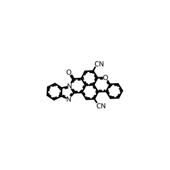 N#Cc1cc2c(=O)n3c4ccccc4nc3c3cc(C#N)c4c5ccccc5oc1c4c23